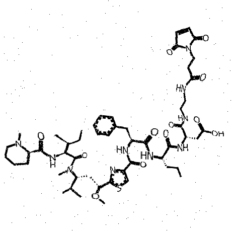 CCC[C@H](NC(=O)[C@H](Cc1ccccc1)NC(=O)c1csc([C@@H](C[C@H](C(C)C)N(C)C(=O)[C@@H](NC(=O)[C@H]2CCCCN2C)[C@@H](C)CC)OC)n1)C(=O)N[C@@H](CC(=O)O)C(=O)NCCNC(=O)CCN1C(=O)C=CC1=O